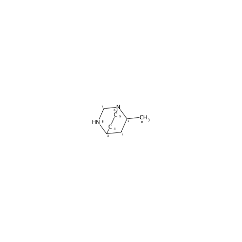 CC1CC2CCN1CN2